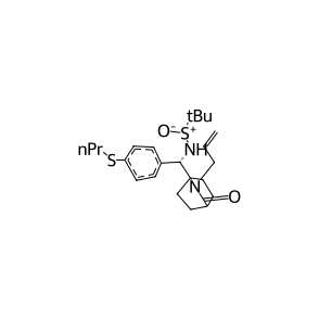 C=CCN1C(=O)C2CCC1([C@@H](N[S@+]([O-])C(C)(C)C)c1ccc(SCCC)cc1)CC2